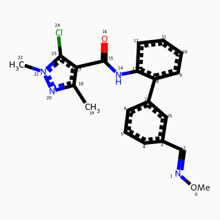 CO/N=C/c1cccc(-c2ccccc2NC(=O)c2c(C)nn(C)c2Cl)c1